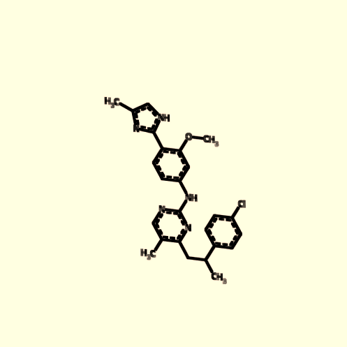 COc1cc(Nc2ncc(C)c(CC(C)c3ccc(Cl)cc3)n2)ccc1-c1nc(C)c[nH]1